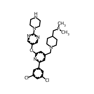 CP(C)CC1CCN(Cc2cc(Oc3cnc(N4CCNCC4)nc3)nc(-c3cc(Cl)cc(Cl)c3)c2)CC1